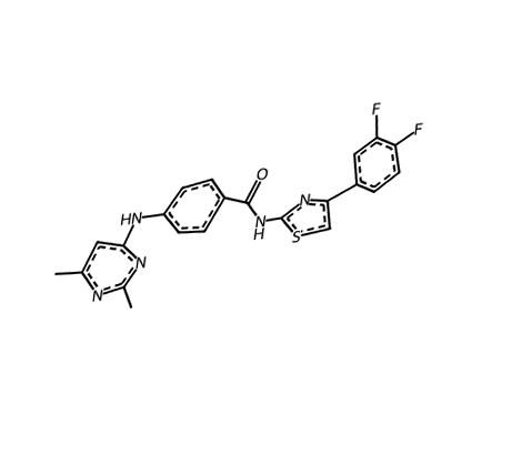 Cc1cc(Nc2ccc(C(=O)Nc3nc(-c4ccc(F)c(F)c4)cs3)cc2)nc(C)n1